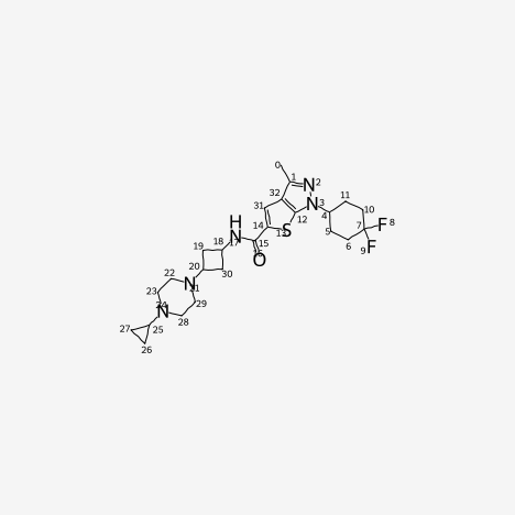 Cc1nn(C2CCC(F)(F)CC2)c2sc(C(=O)NC3CC(N4CCN(C5CC5)CC4)C3)cc12